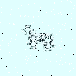 COC(=O)C(NC(=O)c1c(C)c(-c2ccccc2)nc2ccccc12)C1=NC=CCC1=O